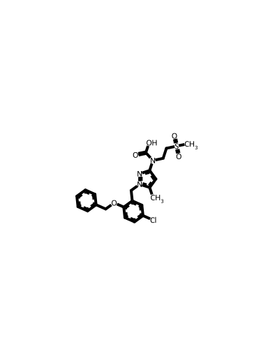 Cc1cc(N(CCS(C)(=O)=O)C(=O)O)nn1Cc1cc(Cl)ccc1OCc1ccccc1